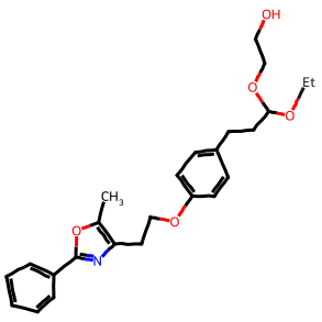 CCOC(CCc1ccc(OCCc2nc(-c3ccccc3)oc2C)cc1)OCCO